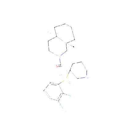 O=C(N1CC[C@H]2CCCC[C@@H]2C1)[C@]1(S(=O)(=O)c2cccc(Cl)c2Cl)CCCNC1